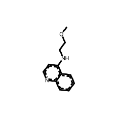 COCCNc1ccnc2ccccc12